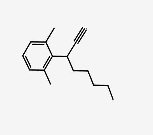 [C]#CC(CCCCC)c1c(C)cccc1C